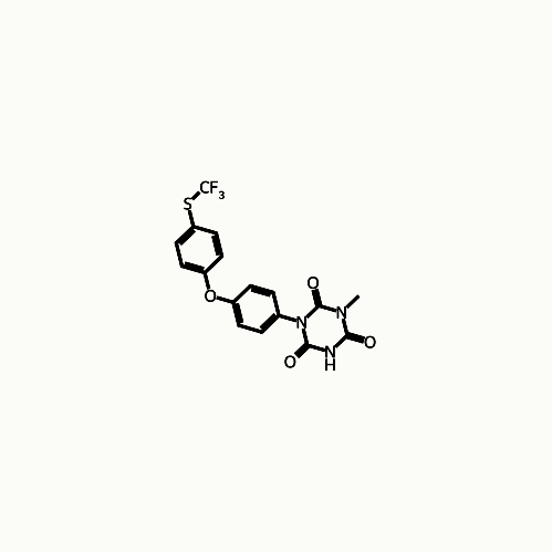 Cn1c(=O)[nH]c(=O)n(-c2ccc(Oc3ccc(SC(F)(F)F)cc3)cc2)c1=O